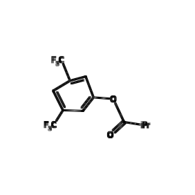 CC(C)C(=O)Oc1cc(C(F)(F)F)cc(C(F)(F)F)c1